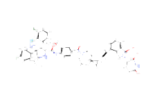 COc1cc(C(=O)N2CCCC3(CC2)C[C@@H]3C#Cc2cccc3c2CN([C@@H]2CCC(=O)NC2=O)C3=O)ccc1NC(=O)[C@@H]1N[C@@H](CC(C)(C)C)[C@@]2(CNc3cc(Cl)ccc32)[C@H]1c1cccc(Cl)c1F